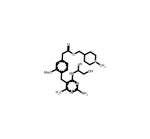 CCCC(CO)Nc1nc(N)nc(C)c1Cc1ccc(CC(=O)OCC2CCN(C)CC2)cc1OC